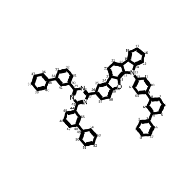 c1ccc(-c2cccc(-c3ccc(-n4c5ccccc5c5ccc6c7cc(-c8nc(-c9cccc(-c%10ccccc%10)c9)nc(-c9cccc(-c%10ccccc%10)c9)n8)ccc7oc6c54)cc3)c2)cc1